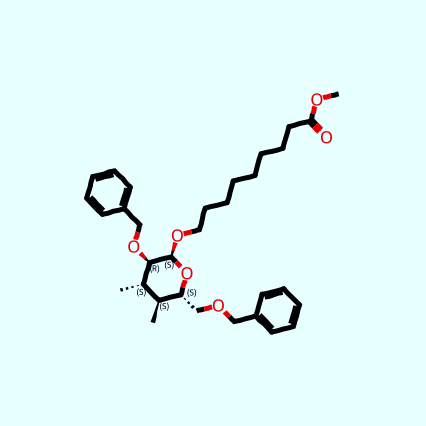 COC(=O)CCCCCCCCO[C@H]1O[C@H](COCc2ccccc2)[C@@H](C)[C@H](C)[C@H]1OCc1ccccc1